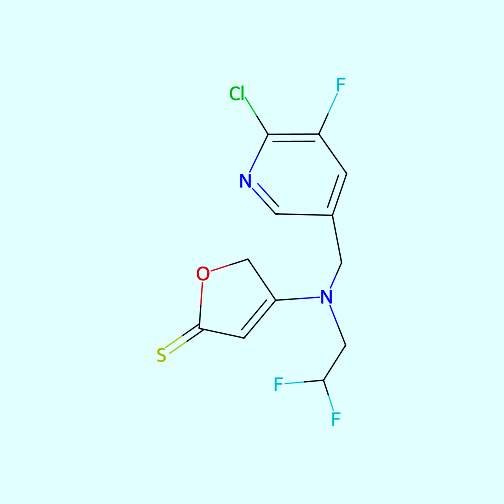 Fc1cc(CN(CC(F)F)C2=CC(=S)OC2)cnc1Cl